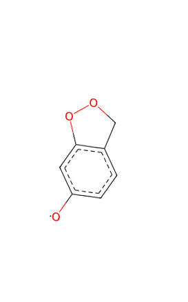 [O]c1ccc2c(c1)OOC2